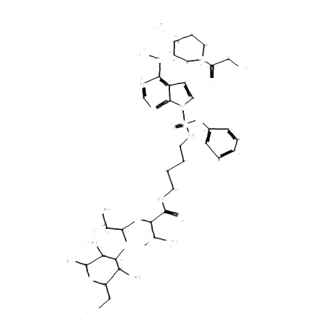 CC(=O)NC1C(C(C)C)OC(CO)C(O)C1OC(OC(C(=O)NCCCCNP(=O)(Oc1ccccc1)n1ccc2c(N(C)[C@H]3CN(C(=O)CC#N)CC[C@H]3C)ncnc21)[C@H](C)O)C(O)O